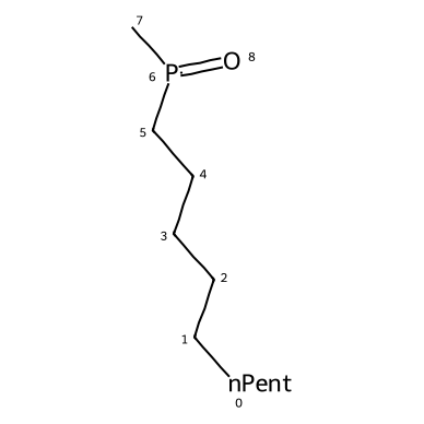 CCCCCCCCCC[P](C)=O